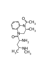 CNC(C)CC(N)C(=O)N1C[C@H](C)N(C(C)=O)c2ccccc21